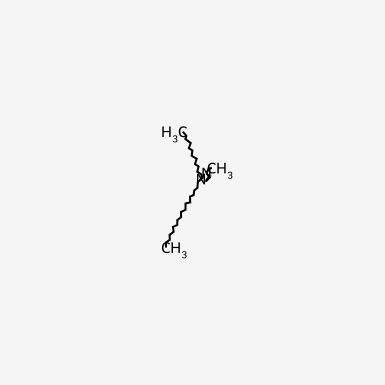 CCCCCCCCCCCCCCCCCC[n+]1ccn(CC)c1CCCCCCCCCCC